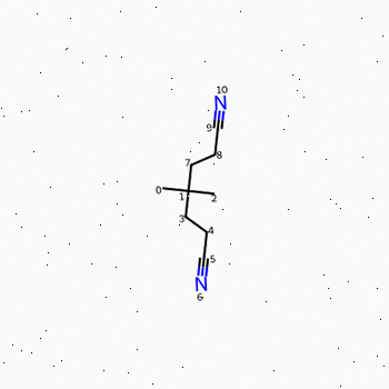 CC(C)(CCC#N)CCC#N